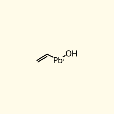 C=[CH][Pb][OH]